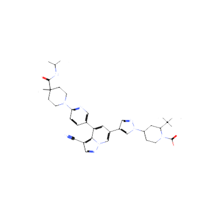 CC(C)NC(=O)C1(C)CCN(c2ccc(-c3cc(-c4cnn(C5CCN(C(=O)O)C(C(C)(C)C)C5)c4)cn4ncc(C#N)c34)cn2)CC1